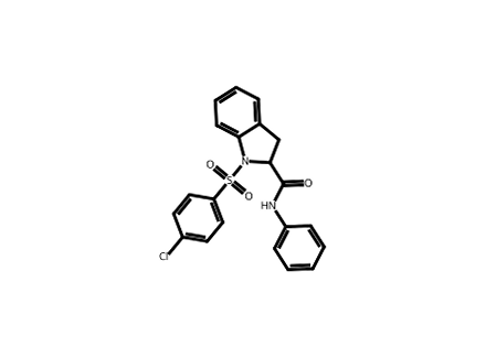 O=C(Nc1ccccc1)C1Cc2ccccc2N1S(=O)(=O)c1ccc(Cl)cc1